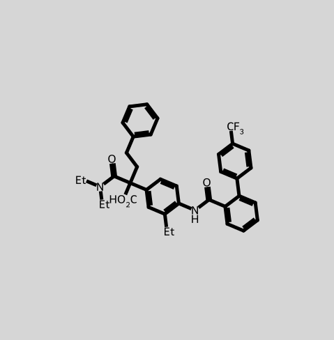 CCc1cc(C(CCc2ccccc2)(C(=O)O)C(=O)N(CC)CC)ccc1NC(=O)c1ccccc1-c1ccc(C(F)(F)F)cc1